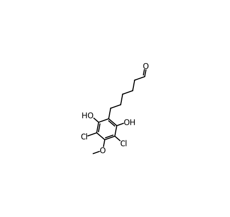 COc1c(Cl)c(O)c(CCCCCC=O)c(O)c1Cl